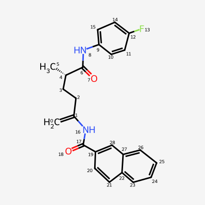 C=C(CC[C@H](C)C(=O)Nc1ccc(F)cc1)NC(=O)c1ccc2ccccc2c1